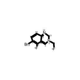 FCN1C=c2c(F)c(Br)ccc2=NC1